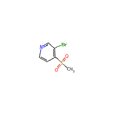 CS(=O)(=O)c1ccncc1Br